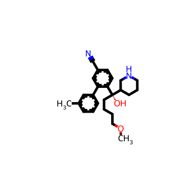 COCCCC[C@@](O)(c1ccc(C#N)cc1-c1cccc(C)c1)C1CCCNC1